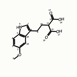 COc1ccc2[nH]cc(CCC(C(=O)O)C(=O)O)c2c1